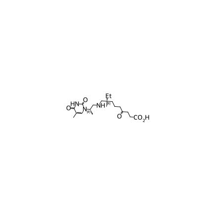 CC[C@](C)(CCCC(=O)CCC(=O)O)CNC[C@@H](C)n1cc(C)c(=O)[nH]c1=O